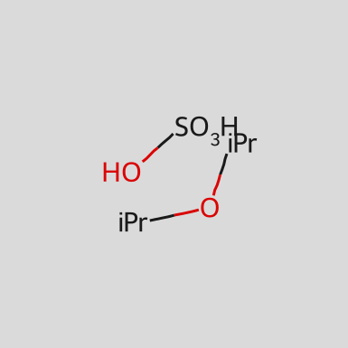 CC(C)OC(C)C.O=S(=O)(O)O